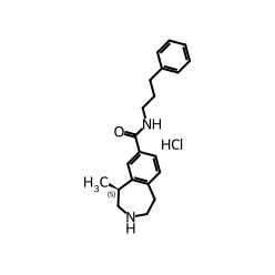 C[C@@H]1CNCCc2ccc(C(=O)NCCCc3ccccc3)cc21.Cl